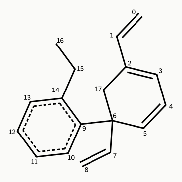 C=CC1=CC=CC(C=C)(c2ccccc2CC)C1